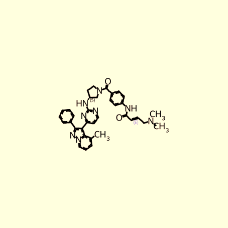 Cc1cccn2nc(-c3ccccc3)c(-c3ccnc(N[C@H]4CCN(C(=O)c5ccc(NC(=O)/C=C/CN(C)C)cc5)C4)n3)c12